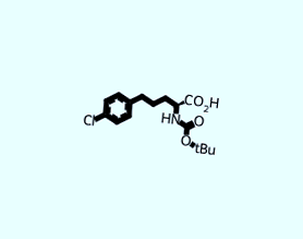 CC(C)(C)OC(=O)N[C@@H](CCCc1ccc(Cl)cc1)C(=O)O